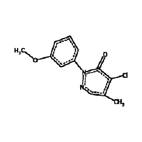 COc1cccc(-n2ncc(C)c(Cl)c2=O)c1